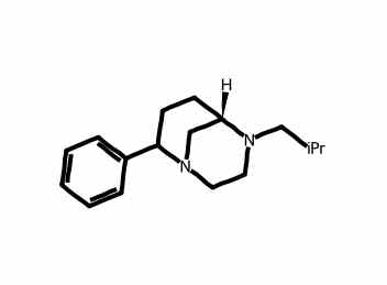 CC(C)CN1CCN2C[C@@H]1CCC2c1ccccc1